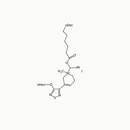 CCCCCCCCCCCCCCCC(=O)OC(C(C)C)[N+]1(C)CCC=C(c2nsnc2OCCCCCC)C1.[I-]